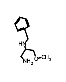 COCC(CN)NCc1ccccc1